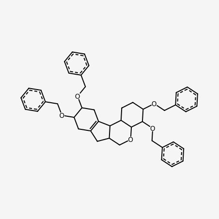 c1ccc(COC2CC3=C(CC2OCc2ccccc2)C2C(COC4C2CCC(OCc2ccccc2)C4OCc2ccccc2)C3)cc1